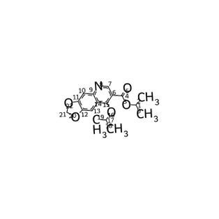 CC(C)OC(=O)c1cnc2cc3c(cc2c1OC(C)C)OCO3